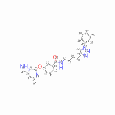 Cc1cc(CN)cc(Oc2cccc(C(=O)NCCCCc3cn(-c4ccccc4)nn3)c2)n1